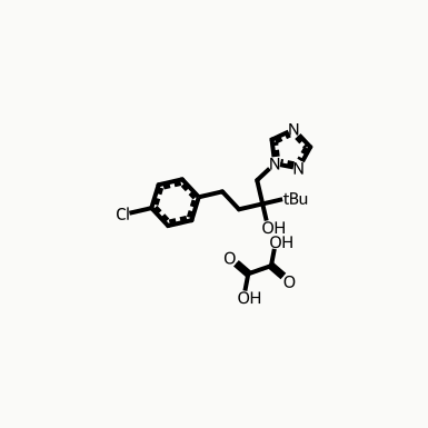 CC(C)(C)C(O)(CCc1ccc(Cl)cc1)Cn1cncn1.O=C(O)C(=O)O